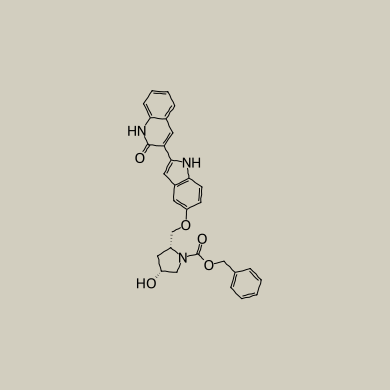 O=C(OCc1ccccc1)N1C[C@H](O)C[C@@H]1COc1ccc2[nH]c(-c3cc4ccccc4[nH]c3=O)cc2c1